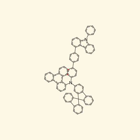 c1ccc(-n2c3ccccc3c3c(-c4ccc(-c5ccc(N(c6ccc7c(c6)C6(c8ccccc8-c8ccccc86)c6ccccc6-7)c6cccc7c8ccccc8c8ccccc8c67)cc5)cc4)cccc32)cc1